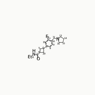 CCNC(=O)C1CC(c2ccc(CN3CCCC3)c(F)c2)C1